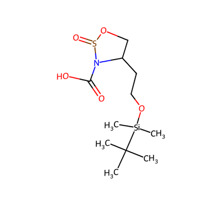 CC(C)(C)[Si](C)(C)OCCC1COS(=O)N1C(=O)O